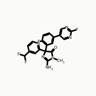 CN1C(=O)C(c2cc(C(F)F)ccn2)(c2cc(-c3cnc(F)nc3)ccc2F)N=C1N